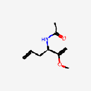 C=CC[C@@H](NC(C)=O)C(=C)OC